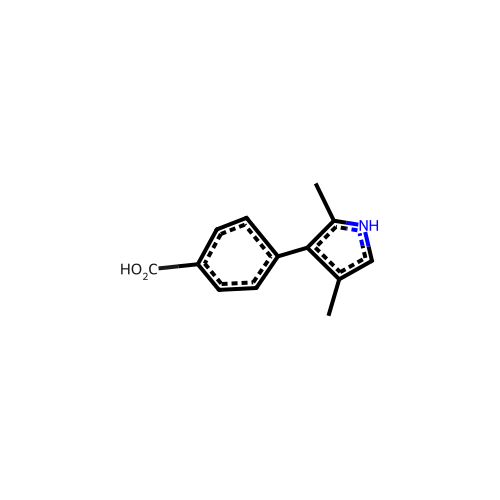 Cc1c[nH]c(C)c1-c1ccc(C(=O)O)cc1